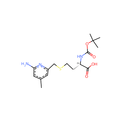 Cc1cc(N)nc(CSCC[C@H](NC(=O)OC(C)(C)C)C(=O)O)c1